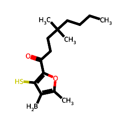 Bc1c(C)oc(C(=O)CCC(C)(C)CCCC)c1S